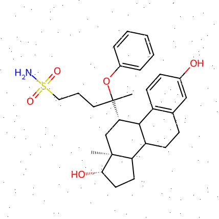 CC(CCCS(N)(=O)=O)(Oc1ccccc1)[C@H]1C[C@@]2(C)C(CC[C@@H]2O)C2CCc3cc(O)ccc3C21